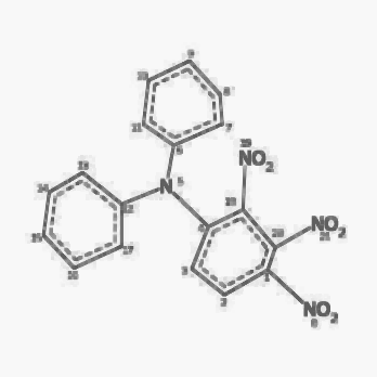 O=[N+]([O-])c1ccc(N(c2ccccc2)c2ccccc2)c([N+](=O)[O-])c1[N+](=O)[O-]